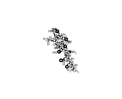 CC[C@H](C)[C@H](NC(=O)[C@H](Cc1ccc(O)cc1)NC(=O)[C@H](Cc1ccc(O)cc1)NC(=O)[C@H](CC(N)=O)NC(=O)[C@H](Cc1c[nH]c2ccccc12)NC(=O)[C@@H](NC(=O)[C@H](Cc1ccccc1)NC(=O)[C@@H](NC(=O)[C@H](C)N)C(C)C)C(C)C)C(=O)N[C@H](C(=O)N[C@@H](CCCNC(=N)N)C(=O)N[C@@H](CCCNC(=N)N)C(=O)N[C@@H](Cc1ccc(O)cc1)C(=O)N(C)[C@@H](Cc1ccc(O)cc1)C(=O)N[C@@H](CS)C(=O)O)[C@@H](C)CC